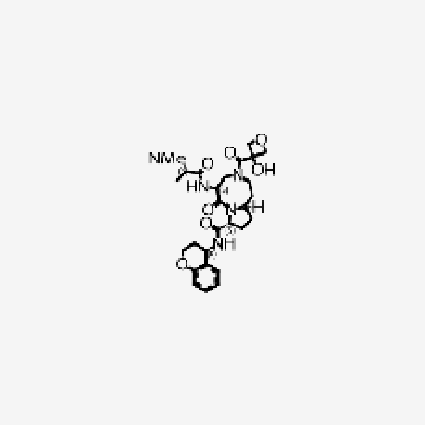 CN[C@@H](C)C(=O)N[C@H]1CN(C(=O)C2(O)COC2)CC[C@H]2CC[C@@H](C(=O)N[C@@H]3CCOc4ccccc43)N2C1=O